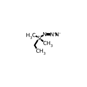 CC[Si](C)(C)N=[N+]=[N-]